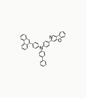 c1ccc(-c2ccc(N(c3ccc(-c4cc5oc6ccccc6c5cn4)cc3)c3ccc(-c4cc5ccccc5c5ccccc45)cc3)cc2)cc1